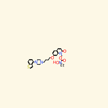 CCN(O)C(=O)OCn1c(=O)ccc2ccc(OCCCCN3CCN(c4cccc5sccc45)CC3)cc21